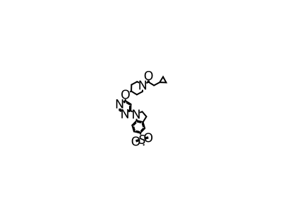 CS(=O)(=O)c1ccc2c(c1)CCN2c1cc(OC2CCN(C(=O)CC3CC3)CC2)ncn1